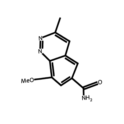 COc1cc(C(N)=O)cc2cc(C)nnc12